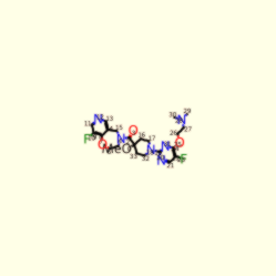 COC1(C(=O)N2CCOc3c(F)cncc3C2)CCN(c2ncc(F)c(OCCN(C)C)n2)CC1